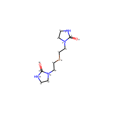 O=C1NCCN1CCSCCN1CCNC1=O